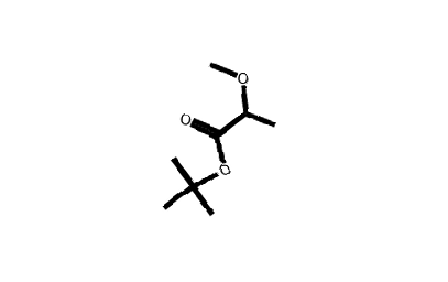 COC(C)C(=O)OC(C)(C)C